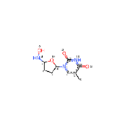 Cc1cn(C2CCC(NO)O2)c(=O)[nH]c1=O